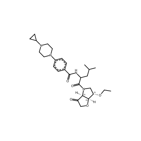 CCO[C@H]1CN(C(=O)C(CC(C)C)NC(=O)c2ccc(N3CCN(C4CC4)CC3)cc2)[C@@H]2C(=O)CO[C@H]12